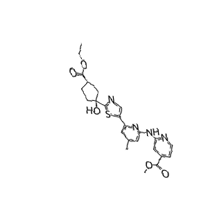 CCOC(=O)[C@H]1CC[C@](O)(c2ncc(-c3cc(C)cc(Nc4cc(C(=O)OC)ccn4)n3)s2)CC1